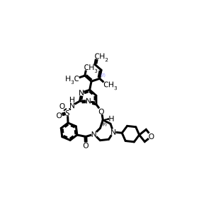 C=C/C=C(/C)C(=C(C)C)c1cc2nc(n1)NS(=O)(=O)c1cccc(c1)C(=O)N1CCN(C3CCC4(CC3)COC4)C[C@H](C1)O2